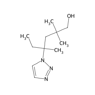 CCC(C)(CC(C)(C)CO)n1ccnn1